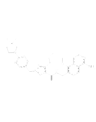 COCc1nn(Cc2cnc(N3CCC(F)(F)C3)nc2)cc1C(=O)NCc1ccc2c(N)nccc2c1OC